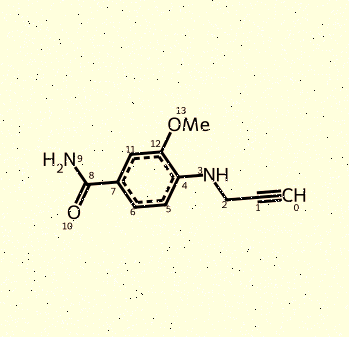 C#CCNc1ccc(C(N)=O)cc1OC